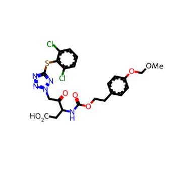 COCOc1ccc(CCOC(=O)NC(CC(=O)O)C(=O)Cn2nnc(Sc3c(Cl)cccc3Cl)n2)cc1